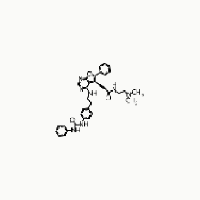 CN(C)CCNC(=O)C#Cc1c(-c2ccccc2)oc2ncnc(NCCc3ccc(NC(=O)Nc4ccccc4)cc3)c12